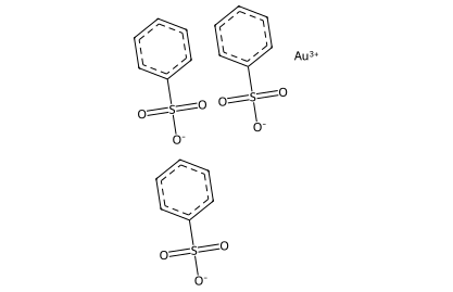 O=S(=O)([O-])c1ccccc1.O=S(=O)([O-])c1ccccc1.O=S(=O)([O-])c1ccccc1.[Au+3]